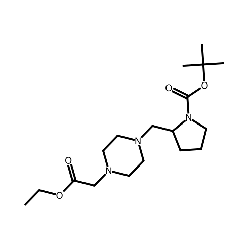 CCOC(=O)CN1CCN(CC2CCCN2C(=O)OC(C)(C)C)CC1